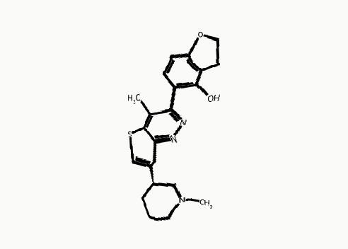 Cc1c(-c2ccc3c(c2O)CCO3)nnc2c([C@@H]3CCCN(C)C3)csc12